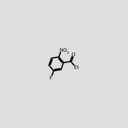 CCC(=O)c1cc(F)ccc1[N+](=O)[O-]